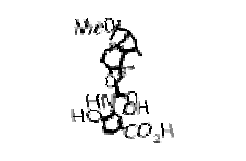 CO[C@@]1(C)C[C@@]23C=CC(=O)[C@@](C)(CCC(=O)Nc4c(O)ccc(C(=O)O)c4O)C2C(C)CC1C3